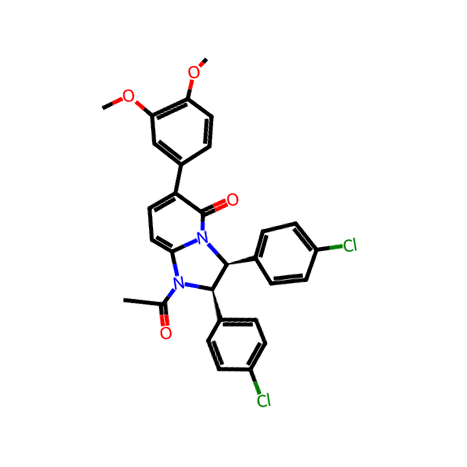 COc1ccc(-c2ccc3n(c2=O)[C@@H](c2ccc(Cl)cc2)[C@@H](c2ccc(Cl)cc2)N3C(C)=O)cc1OC